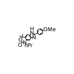 CCCN1C(=O)OC(C)(C)c2cc3[nH]c(-c4ccc(OC)cc4)nc3cc21